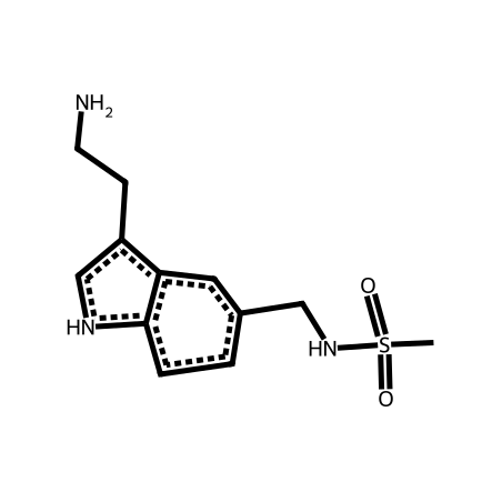 CS(=O)(=O)NCc1ccc2[nH]cc(CCN)c2c1